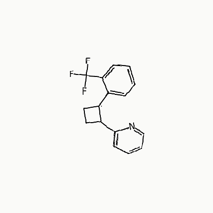 FC(F)(F)c1ccccc1[C]1CCC1c1ccccn1